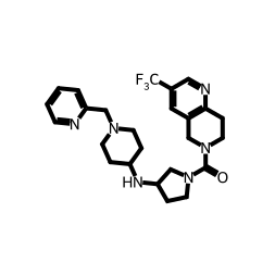 O=C(N1CCc2ncc(C(F)(F)F)cc2C1)N1CCC(NC2CCN(Cc3ccccn3)CC2)C1